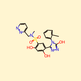 Cc1ccccc1-n1c(O)nnc1-c1cc(S(=O)(=O)N(C)Cc2cccnn2)c(O)cc1O